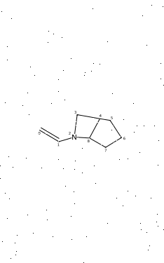 C=CN1CC2CCCC21